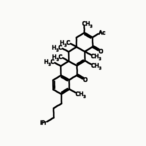 CC(=O)C1=C(C)CC2(C)C(C)C3(C)C(=C(C)C2(C)C1=O)C(=O)c1c(ccc(CCCC(C)C)c1C)C3C